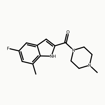 Cc1cc(F)cc2cc(C(=O)N3CCN(C)CC3)[nH]c12